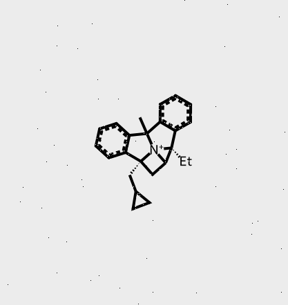 CC[C@]12c3ccccc3C3(C)c4ccccc4[C@]4(CC5CC5)CC1[N+]342